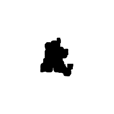 C=CCCN(CC[C@H](NC(=O)OC(C)(C)C)C(=O)N1C[C@H](OC(=O)N2Cc3cccc(F)c3C2)C[C@H]1C(=O)N[C@]1(C(=O)OCC)C[C@H]1CC)S(=O)(=O)c1ccccc1[N+](=O)[O-]